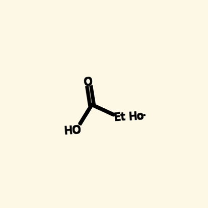 CCC(=O)O.[Ho]